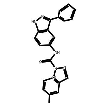 Cc1cc[n+]2c(cnn2C(=O)Nc2ccc3[nH]nc(-c4ccccc4)c3c2)c1